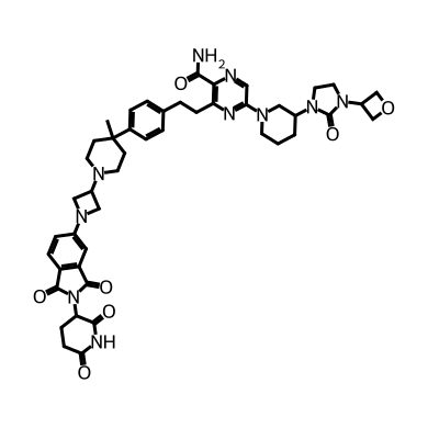 CC1(c2ccc(CCc3nc(N4CCCC(N5CCN(C6COC6)C5=O)C4)cnc3C(N)=O)cc2)CCN(C2CN(c3ccc4c(c3)C(=O)N(C3CCC(=O)NC3=O)C4=O)C2)CC1